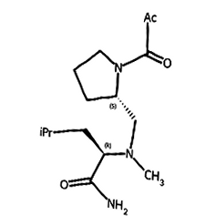 CC(=O)C(=O)N1CCC[C@H]1CN(C)[C@H](CC(C)C)C(N)=O